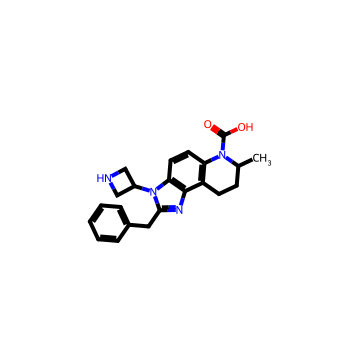 CC1CCc2c(ccc3c2nc(Cc2ccccc2)n3C2CNC2)N1C(=O)O